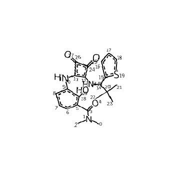 CN(C)C(=O)c1cccc(Nc2c(N[C@@H](c3cccs3)C(C)(C)C)c(=O)c2=O)c1O